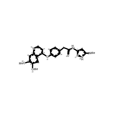 CNc1cc(NC(=O)Cc2ccc(Oc3ccnc4cc(OC)c(OC)cc34)cc2)n[nH]1